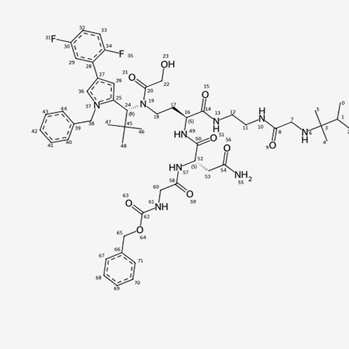 CC(C)C(C)(C)NCC(=O)NCCNC(=O)[C@H](CCN(C(=O)CO)[C@@H](c1cc(-c2cc(F)ccc2F)cn1Cc1ccccc1)C(C)(C)C)NC(=O)[C@H](CC(N)=O)NC(=O)CNC(=O)OCc1ccccc1